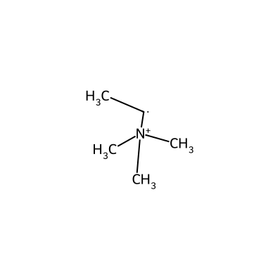 C[CH][N+](C)(C)C